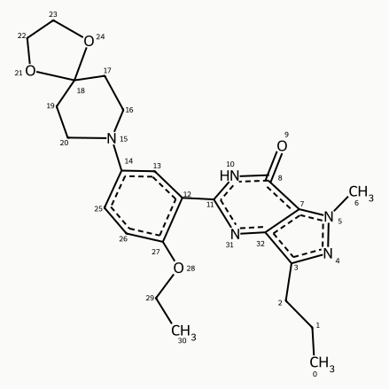 CCCc1nn(C)c2c(=O)[nH]c(-c3cc(N4CCC5(CC4)OCCO5)ccc3OCC)nc12